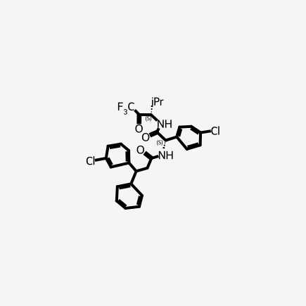 CC(C)[C@H](NC(=O)[C@@H](NC(=O)CC(c1ccccc1)c1cccc(Cl)c1)c1ccc(Cl)cc1)C(=O)C(F)(F)F